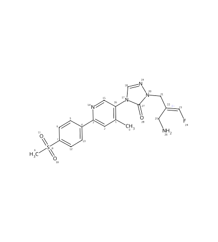 Cc1cc(-c2ccc(S(C)(=O)=O)cc2)ncc1-n1cnn(C/C(=C/F)CN)c1=O